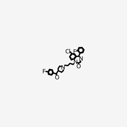 O=C(c1ccc(F)cc1)C1CCN(CCCCN2C(=O)C=NC(c3ccccc3F)c3cc(Cl)ccc32)CC1